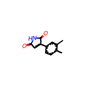 Cc1ccc(C2=CC(=O)NC2=O)cc1C